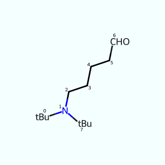 CC(C)(C)N(CCCCC=O)C(C)(C)C